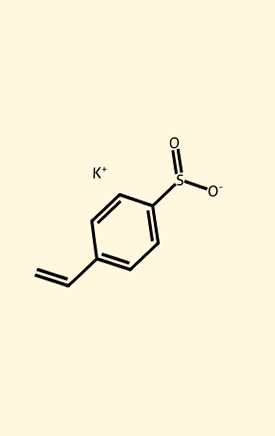 C=Cc1ccc(S(=O)[O-])cc1.[K+]